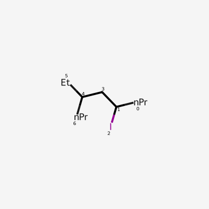 CCCC(I)CC(CC)CCC